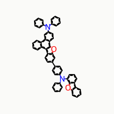 c1ccc(N(c2ccccc2)c2ccc3c(c2)c2ccccc2c2c4ccc(-c5ccc(N(c6ccccc6)c6cccc7c6oc6ccccc67)cc5)cc4oc32)cc1